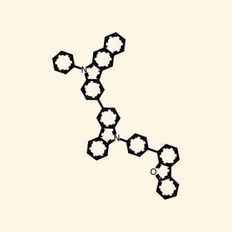 c1ccc(-n2c3ccc(-c4ccc5c(c4)c4ccccc4n5-c4ccc(-c5cccc6c5oc5ccccc56)cc4)cc3c3cc4ccccc4cc32)cc1